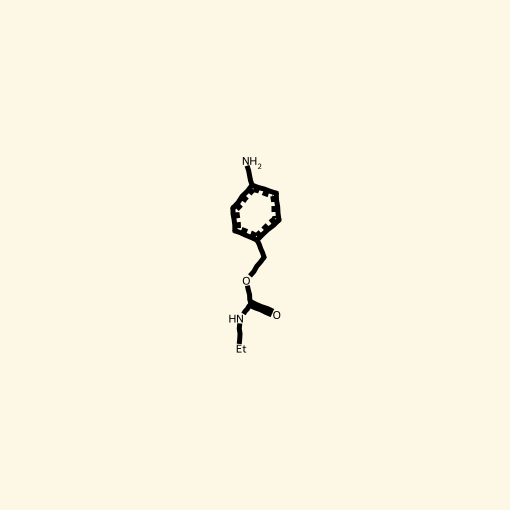 CCNC(=O)OCc1ccc(N)cc1